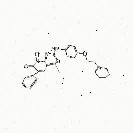 CCn1c(=O)c(-c2ccccc2)cc2c(C)nc(Nc3ccc(OCCN4CCCCC4)cc3)nc21